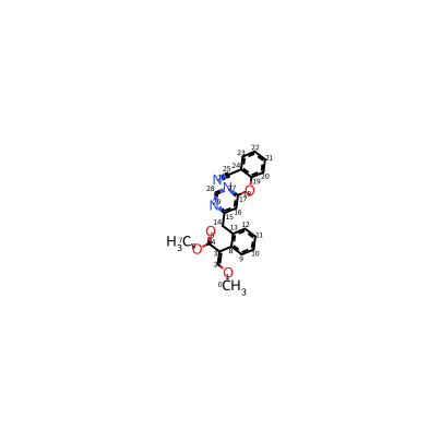 CO/C=C(/C(=O)OC)c1ccccc1Cc1cc(Oc2ccccc2C#N)ncn1